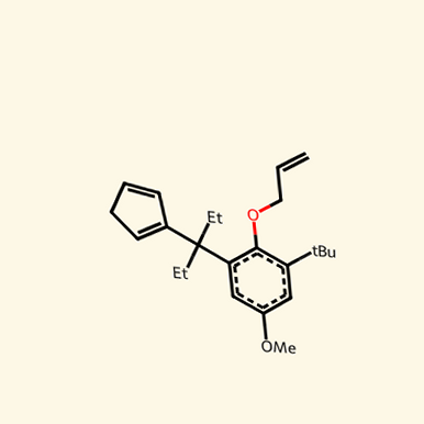 C=CCOc1c(C(C)(C)C)cc(OC)cc1C(CC)(CC)C1=CCC=C1